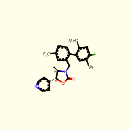 COc1cc(F)c(C(C)C)cc1-c1ccc(C(F)(F)F)cc1CN1C(=O)O[C@H](c2ccncc2)[C@H]1C